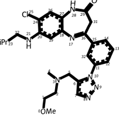 COCCN(C)Cc1cnnn1-c1cccc(C2=Nc3cc(NCC(C)C)c(Cl)cc3NC(=O)C2)c1